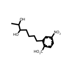 CC(O)C(O)CCCCc1cc([N+](=O)[O-])ccc1C(=O)O